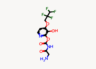 NCC(=O)NC(=O)Oc1nccc(OCC(F)(F)C(F)F)c1O